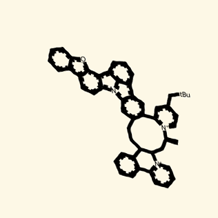 C=C1CC2C(CCc3cc4c(cc3-c3cc(CC(C)(C)C)cc[n+]31)c1cccc3c5c6oc7ccccc7c6ccc5n4c13)c1ccccc1-c1cccc[n+]12